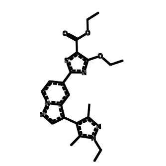 CCOC(=O)c1sc(-c2ccn3ncc(-c4c(C)nn(CC)c4C)c3c2)nc1OCC